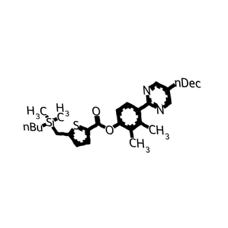 CCCCCCCCCCc1cnc(-c2ccc(OC(=O)c3ccc(C[Si](C)(C)CCCC)s3)c(C)c2C)nc1